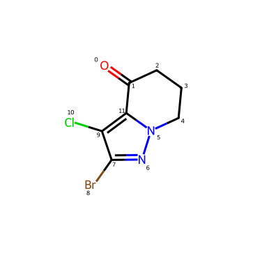 O=C1CCCn2nc(Br)c(Cl)c21